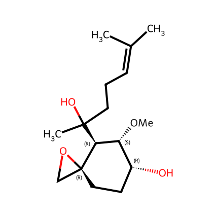 CO[C@@H]1[C@H](O)CC[C@]2(CO2)[C@H]1C(C)(O)CCC=C(C)C